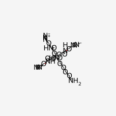 [N-]=[N+]=NCCOCCNC(=O)CCOCC(COCCC(=O)NCCOCCN=[N+]=[N-])(COCCC(=O)NCCOCCN=[N+]=[N-])NC(=O)CCOCCOCCOCCOCCN